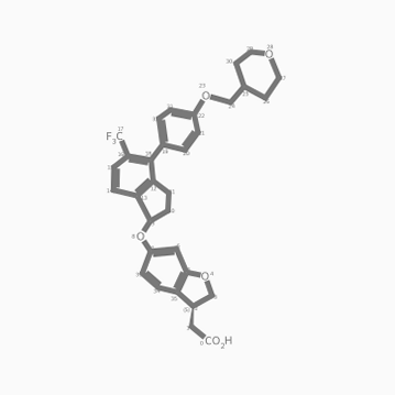 O=C(O)C[C@@H]1COc2cc(OC3CCc4c3ccc(C(F)(F)F)c4-c3ccc(OCC4CCOCC4)cc3)ccc21